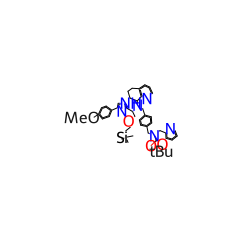 COc1ccc(-c2c[nH]c(C(COCC[Si](C)(C)C)N(Cc3ccc(CN(Cc4ccccn4)C(=O)OC(C)(C)C)cc3)C3CCCc4cccnc43)n2)cc1